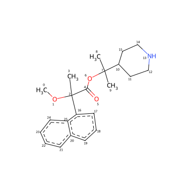 COC(C)(C(=O)OC(C)(C)C1CCNCC1)c1cccc2ccccc12